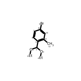 CCOC(OCC)c1ccc(Br)cc1C